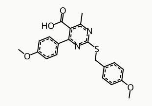 COc1ccc(CSc2nc(C)c(C(=O)O)c(-c3ccc(OC)cc3)n2)cc1